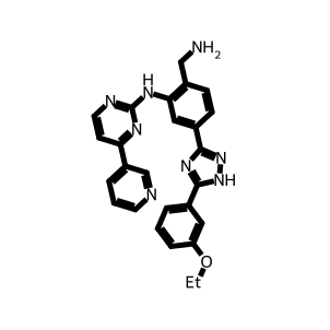 CCOc1cccc(-c2nc(-c3ccc(CN)c(Nc4nccc(-c5cccnc5)n4)c3)n[nH]2)c1